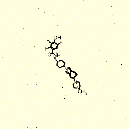 CN1CCN(c2ccc3cn(C4CCC(CNC(=O)c5cc(F)c(O)c(F)c5F)CC4)nc3c2)CC1